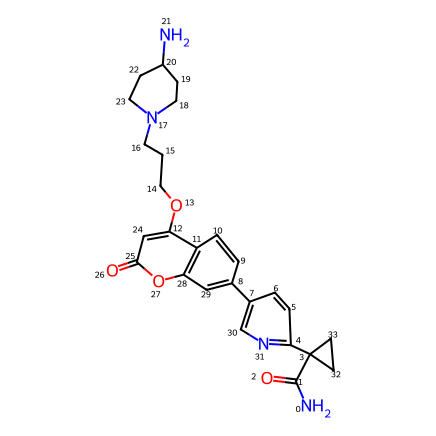 NC(=O)C1(c2ccc(-c3ccc4c(OCCCN5CCC(N)CC5)cc(=O)oc4c3)cn2)CC1